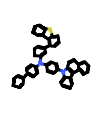 C1=C(c2cccc3sc4ccccc4c23)C=C(N(c2ccc(-c3ccccc3)cc2)c2ccc(-n3c4ccccc4c4c5ccccc5ccc43)cc2)CC1